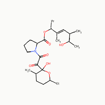 CCC1CCC(C)C(O)(C(=O)C(=O)N2CCCC2C(=O)OC(/C(C)=C/C(C)C(C)O)C(C)C)O1